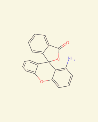 Nc1cccc2c1C1(OC(=O)c3ccccc31)c1ccccc1O2